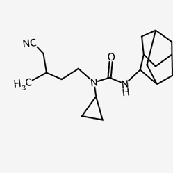 CC(CC#N)CCN(C(=O)NC1C2CC3CC(C2)CC1C3)C1CC1